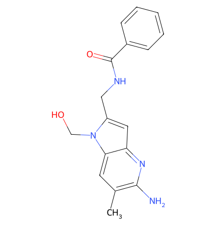 Cc1cc2c(cc(CNC(=O)c3ccccc3)n2CO)nc1N